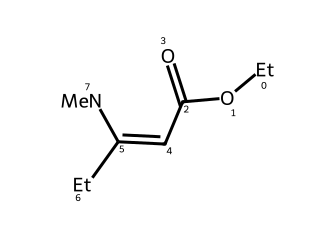 CCOC(=O)C=C(CC)NC